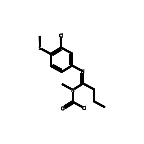 CCCC(=Nc1ccc(SC)c(Cl)c1)N(C)C(=O)Cl